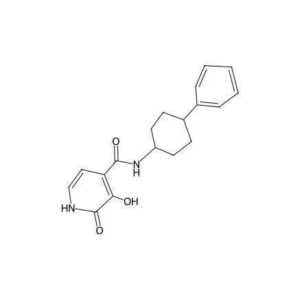 O=C(NC1CCC(c2ccccc2)CC1)c1cc[nH]c(=O)c1O